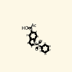 CC(=O)N(O)c1ccc2c(ccn2S(=O)(=O)c2ccccc2)c1